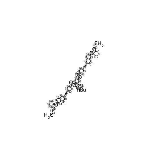 C=CCOC1CCCCC1Oc1ccc2cc(C#Cc3ccc(C(=O)Oc4ccc(OC(=O)c5ccc(C#Cc6ccc7cc(OC8CCCCC8OCC=C)ccc7c6)cc5)c(C(=O)OCCCC)c4)cc3)ccc2c1